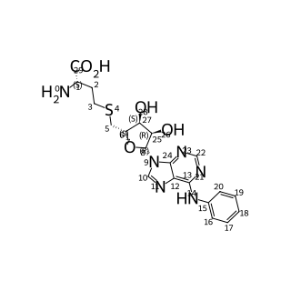 N[C@@H](CCSC[C@H]1O[C@@H](n2cnc3c(Nc4ccccc4)ncnc32)[C@H](O)[C@@H]1O)C(=O)O